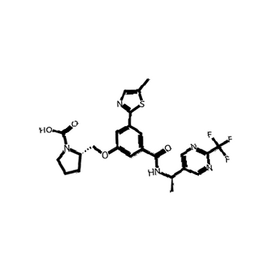 Cc1cnc(-c2cc(OC[C@@H]3CCCN3C(=O)O)cc(C(=O)N[C@H](C)c3cnc(C(F)(F)F)nc3)c2)s1